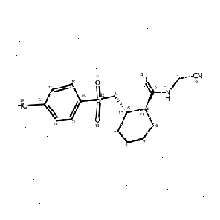 N#CCNC(=O)[C@H]1CCCC[C@@H]1CS(=O)(=O)c1ccc(O)cc1